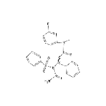 CN(C(=O)C[C@@H](c1ccccc1)N(C(N)=O)S(=O)(=O)c1ccccc1)c1cccc(F)c1